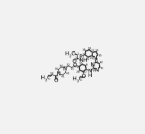 C=CC(=O)Nc1cc(Nc2nccc(-n3ccc4ccc(F)cc43)n2)c(OC)cc1OCCN1CCN(C(=O)C=C)CC1